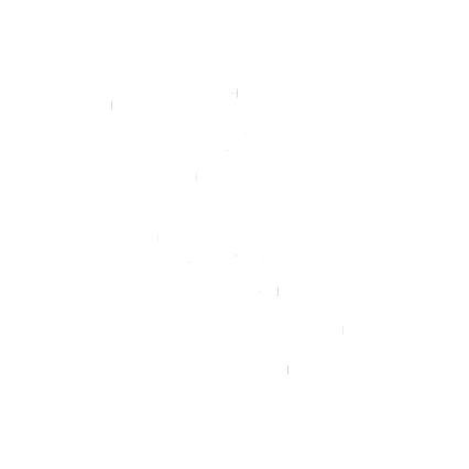 CCCCC(CC)CC(CCCCC(=O)c1c(C)cc(C)cc1C)C(=O)O.O=P